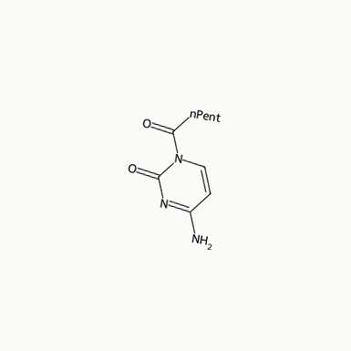 CCCCCC(=O)n1ccc(N)nc1=O